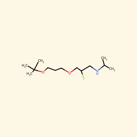 CC(C)NCC(F)COCCCOC(C)(C)C